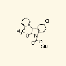 Cc1ccccc1C1C(=O)N(C(=O)OC(C)(C)C)c2ccc(Cl)cc21